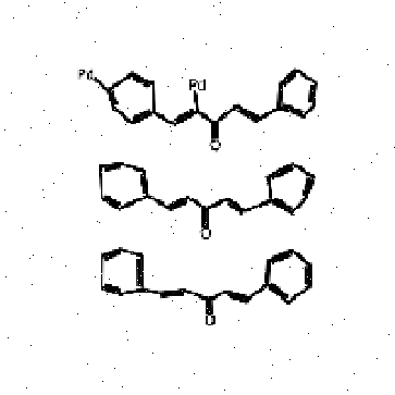 O=C(C=Cc1ccccc1)C=Cc1ccccc1.O=C(C=Cc1ccccc1)C=Cc1ccccc1.O=C(C=Cc1ccccc1)[C]([Pd])=Cc1cc[c]([Pd])cc1